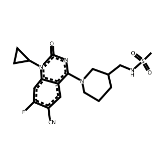 CS(=O)(=O)NCC1CCCN(c2nc(=O)n(C3CC3)c3cc(F)c(C#N)cc23)C1